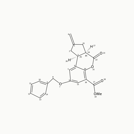 C=C1C[C@@H]2c3cc(OCc4ccccc4)cc(C(=O)OC)c3OC(=O)[C@@H]2C1